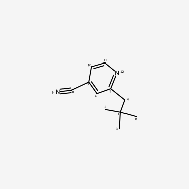 CC(C)(C)Cc1cc(C#N)ccn1